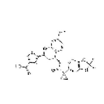 COc1ccc2c(c1)O[C@H](c1nc(C(=O)O)cs1)C[C@@H]2NC(=O)C1(c2ccc3c(c2)OC(F)(F)O3)CC1